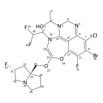 CC(O)N1CN=c2c(Cl)c(Br)c(F)c3c2=C1N(CC(F)F)C=C(OC[C@@]12CCCN1C[C@H](F)C2)O3